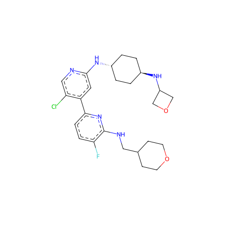 Fc1ccc(-c2cc(N[C@H]3CC[C@H](NC4COC4)CC3)ncc2Cl)nc1NCC1CCOCC1